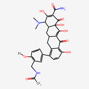 CCOc1ccc(-c2ccc(O)c3c2CC2CC4C(N(C)C)C(O)=C(C(N)=O)C(=O)C4(O)C(O)=C2C3=O)cc1CNC(=O)C(F)(F)F